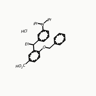 CCC(c1cccc(N(C(C)C)C(C)C)c1)c1cc(C(=O)O)ccc1OCc1ccccc1.Cl